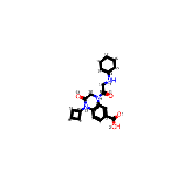 O=C(O)c1ccc2c(c1)N(C(=O)CNC1CCCCC1)CC(=O)N2C1CCC1